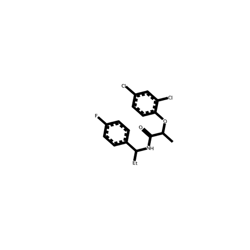 CCC(NC(=O)C(C)Oc1ccc(Cl)cc1Cl)c1ccc(F)cc1